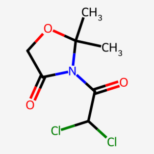 CC1(C)OCC(=O)N1C(=O)C(Cl)Cl